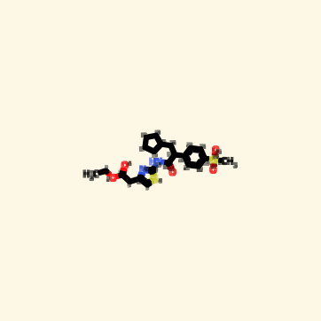 CCOC(=O)Cc1csc(NC(=O)C(CC2CCCC2)c2ccc(S(C)(=O)=O)cc2)n1